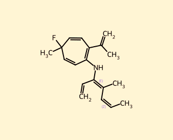 C=C/C(NC1=C(C(=C)C)C=CC(C)(F)C=C1)=C(C)\C=C/C